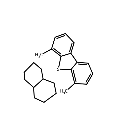 C1CCC2CCCCC2C1.Cc1cccc2c1sc1c(C)cccc12